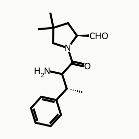 C[C@H](c1ccccc1)C(N)C(=O)N1CC(C)(C)C[C@H]1C=O